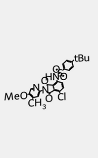 COc1cnc(N2C(=O)c3c(Cl)ccc(NS(=O)(=O)c4ccc(C(C)(C)C)cc4)c3C2=O)cc1C